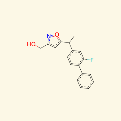 CC(c1ccc(-c2ccccc2)c(F)c1)c1cc(CO)no1